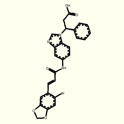 O=C(O)CC(c1ccccc1)n1cnc2cc(NC(=O)C=Cc3cc4c(cc3Br)OCO4)ccc21